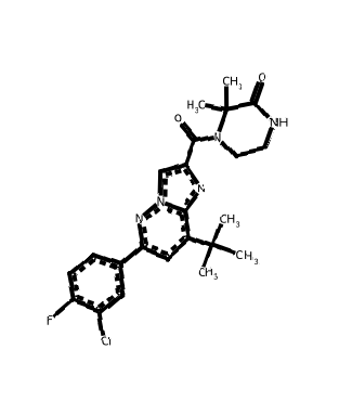 CC(C)(C)c1cc(-c2ccc(F)c(Cl)c2)nn2cc(C(=O)N3CCNC(=O)C3(C)C)nc12